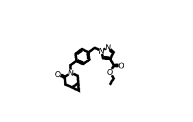 CCOC(=O)c1cnn(Cc2ccc(CN3CC4CC4CC3=O)cc2)c1